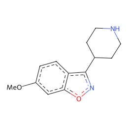 COc1ccc2c(C3CCNCC3)noc2c1